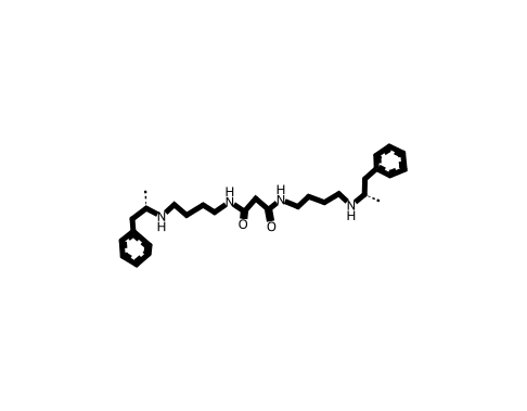 C[C@@H](Cc1ccccc1)NCCCCNC(=O)CC(=O)NCCCCN[C@@H](C)Cc1ccccc1